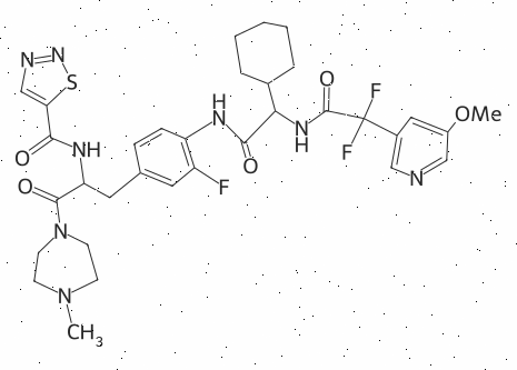 COc1cncc(C(F)(F)C(=O)NC(C(=O)Nc2ccc(CC(NC(=O)c3cnns3)C(=O)N3CCN(C)CC3)cc2F)C2CCCCC2)c1